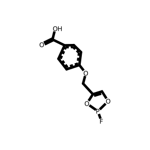 O=C(O)c1ccc(OCC2=COP(F)O2)cc1